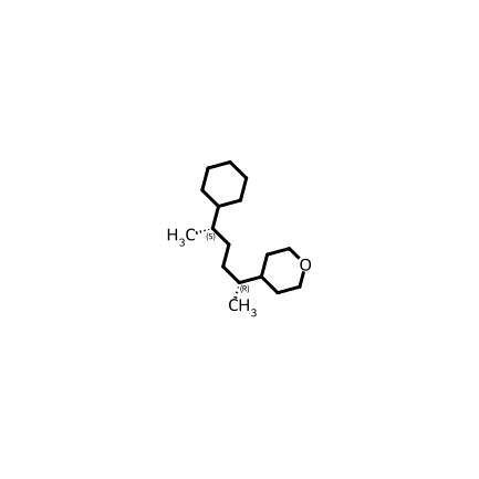 C[C@H](CC[C@H](C)C1CCCCC1)C1CCOCC1